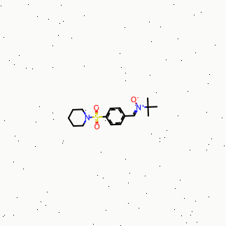 CC(C)(C)/[N+]([O-])=C/c1ccc(S(=O)(=O)N2CCCCC2)cc1